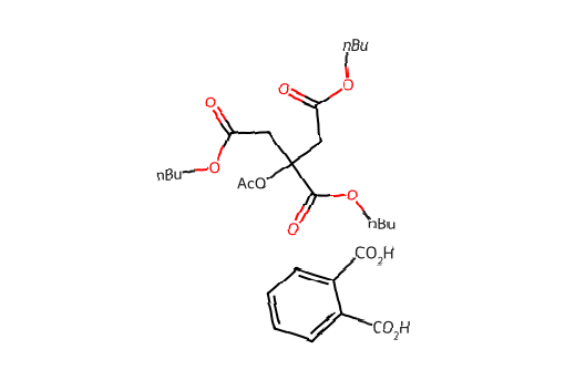 CCCCOC(=O)CC(CC(=O)OCCCC)(OC(C)=O)C(=O)OCCCC.O=C(O)c1ccccc1C(=O)O